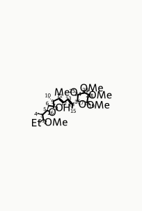 CC[C@H](OC)[C@@H](C)[C@H]1C[C@@](O)([C@H](C)/C=C/C=C(\C)[C@H]2O[C@H](OC)[C@H](OC)[C@@H](OC)[C@@H]2OC)O1